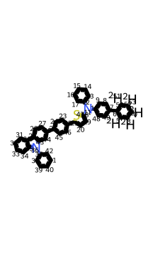 [2H]c1c([2H])c([2H])c(-c2ccc(N(c3ccccc3)c3ccc(-c4ccc(-c5ccc6c7ccccc7n(-c7ccccc7)c6c5)cc4)s3)cc2)c([2H])c1[2H]